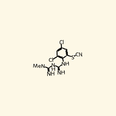 CNC(=N)NC(=N)Nc1c(Cl)cc(Cl)cc1SC#N